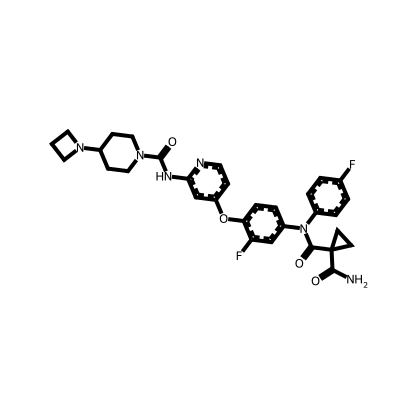 NC(=O)C1(C(=O)N(c2ccc(F)cc2)c2ccc(Oc3ccnc(NC(=O)N4CCC(N5CCC5)CC4)c3)c(F)c2)CC1